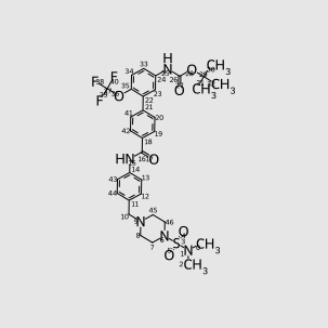 CN(C)S(=O)(=O)N1CCN(Cc2ccc(NC(=O)c3ccc(-c4cc(NC(=O)OC(C)(C)C)ccc4OC(F)(F)F)cc3)cc2)CC1